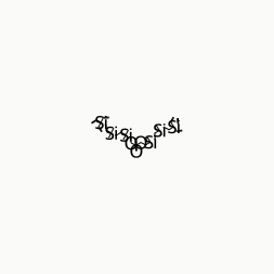 C=C[Si](C=C)(C=C)CC[Si](C)(C)CC[Si](C)(C)COC(=O)OC[Si](C)(C)CC[Si](C)(C)CC[Si](C=C)(C=C)C=C